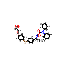 O=C/C(=N\OC(=O)N(c1ccccc1)c1ccccc1)c1ccc(Sc2ccc(OCCO)cc2)cc1